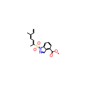 C=C/C(C)=C\C=C(/C)S(=O)(=O)n1ncc2c(C(=O)OC)cccc21